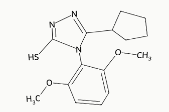 COc1cccc(OC)c1-n1c(S)nnc1C1CCCC1